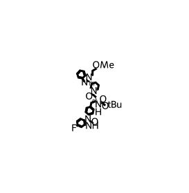 COCCCn1c([C@@H]2CCCN(C(=O)C[C@@H](Cc3ccc(-n4c(=O)[nH]c5cc(F)ccc54)cc3)NC(=O)OC(C)(C)C)C2)nc2ccccc21